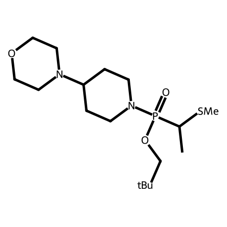 CSC(C)P(=O)(OCC(C)(C)C)N1CCC(N2CCOCC2)CC1